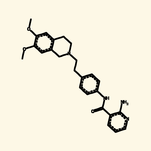 COc1cc2c(cc1OC)CN(CCc1ccc(NC(=O)c3cccnc3N)cc1)CC2